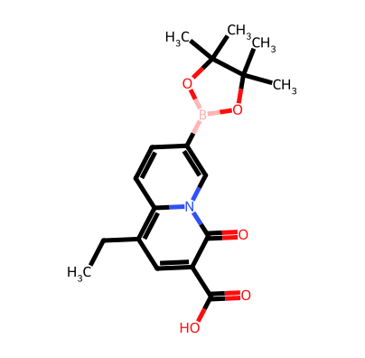 CCc1cc(C(=O)O)c(=O)n2cc(B3OC(C)(C)C(C)(C)O3)ccc12